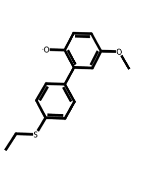 CCSc1ccc(-c2cc(OC)ccc2[O])cc1